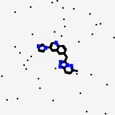 Cc1ccc2nnc(Cc3ccc4ncc(-n5ccnc5)cc4c3)n2n1